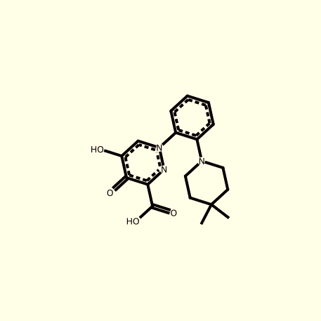 CC1(C)CCN(c2ccccc2-n2cc(O)c(=O)c(C(=O)O)n2)CC1